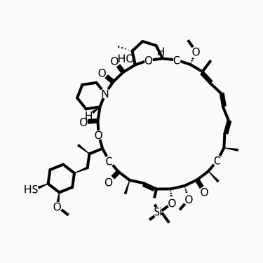 CO[C@H]1C[C@@H]2CC[C@@H](C)[C@@](O)(O2)C(=O)C(=O)N2CCCC[C@H]2C(=O)OC([C@H](C)C[C@@H]2CC[C@H](S)[C@H](OC)C2)CC(=O)[C@H](C)/C=C(\C)[C@@H](O[Si](C)(C)C)[C@@H](OC)C(=O)[C@H](C)C[C@H](C)/C=C/C=C/C=C/1C